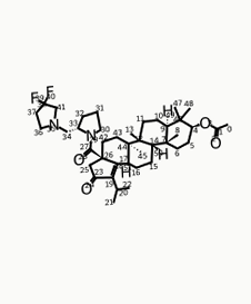 CC(=O)O[C@H]1CC[C@@]2(C)[C@@H](CC[C@]3(C)[C@H]2CC[C@@H]2C4=C(C(C)C)C(=O)C[C@]4(C(=O)N4CCC[C@H]4CN4CCC(F)(F)C4)CC[C@]23C)C1(C)C